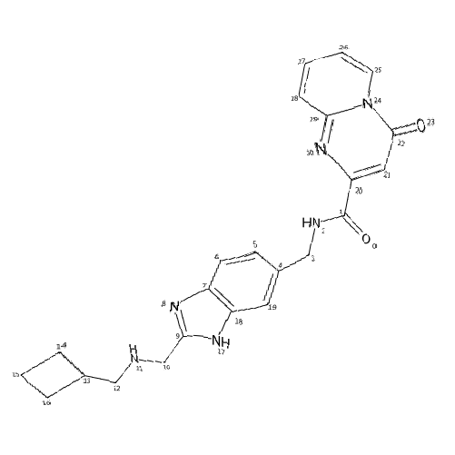 O=C(NCc1ccc2nc(CNCC3CCC3)[nH]c2c1)c1cc(=O)n2ccccc2n1